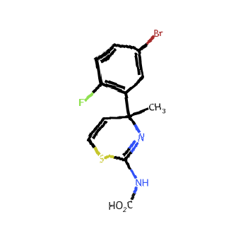 CC1(c2cc(Br)ccc2F)C=CSC(NC(=O)O)=N1